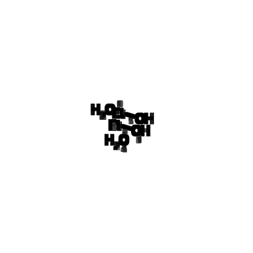 CCO.CCO.O.O